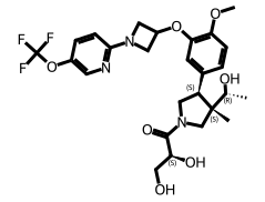 COc1ccc([C@@H]2CN(C(=O)[C@@H](O)CO)C[C@@]2(C)[C@@H](C)O)cc1OC1CN(c2ccc(OC(F)(F)F)cn2)C1